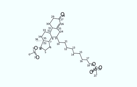 CC(=O)O[C@H]1CCC2C3C(CCCCCCCCCOS(C)(=O)=O)CC4=CC(=O)CCC4C3CC[C@@]21C